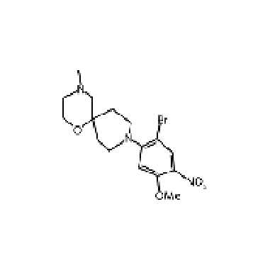 COc1cc(N2CCC3(CC2)CN(C)CCO3)c(Br)cc1[N+](=O)[O-]